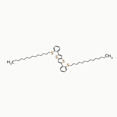 CCCCCCCCCCCCCCSc1ccccc1-c1cc2sc(-c3ccccc3SCCCCCCCCCCCCCC)cc2s1